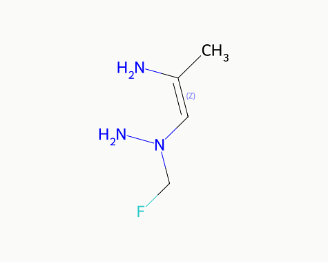 C/C(N)=C/N(N)CF